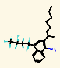 CCCCCCC(C)c1cc(C(F)(F)C(F)(F)C(F)(F)C(F)(F)F)c2ccccc2c1N